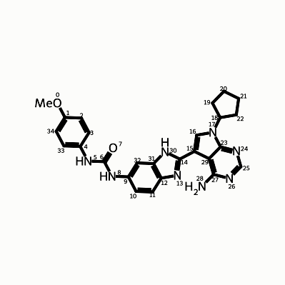 COc1ccc(NC(=O)Nc2ccc3nc(-c4cn(C5CCCC5)c5ncnc(N)c45)[nH]c3c2)cc1